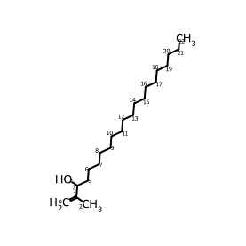 C=C(C)C(O)CCCCCCCCCCCCCCCCCC